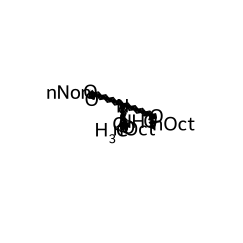 CCCCCCCCCOC(=O)CCCCCCCN(CCCCCCCC(=O)OC(CCCCCCCC)CCCCCCCC)CCCNS(C)(=O)=O